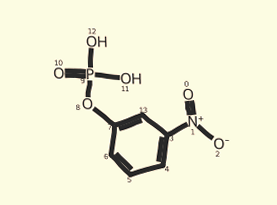 O=[N+]([O-])c1cccc(OP(=O)(O)O)c1